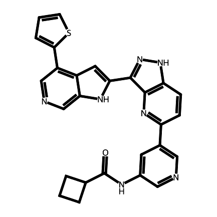 O=C(Nc1cncc(-c2ccc3[nH]nc(-c4cc5c(-c6cccs6)cncc5[nH]4)c3n2)c1)C1CCC1